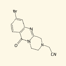 N#CCN1CCn2c(nc3cc(Br)ccc3c2=O)C1